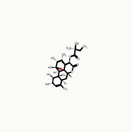 CC[C@](C)(O)C(=O)O[C@H]1C(=O)O[C@@H]2C[C@H]3C(C)=C[C@H](O)[C@@H](O)[C@]3(C)[C@H]3[C@@]4(O)OC[C@]32[C@@H]1[C@@H](C)[C@H]4O